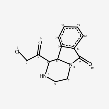 O=C(CCl)C1NCCN2C(=O)c3ccccc3C12